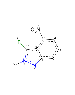 Cn1nc2cccc([N+](=O)[O-])c2c1F